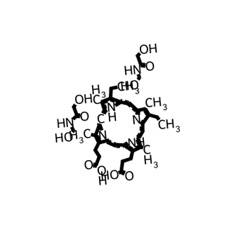 CCC1=C(C)c2cc3[nH]c(cc4nc(cc5[nH]c(cc1n2)c(C)c5CCC(=O)O)C(CCC(=O)O)=C4C)c(C)c3CC.O=C(CO)NCO.O=C(CO)NCO